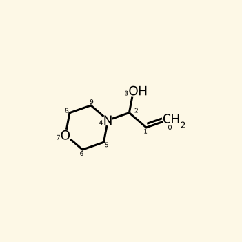 C=CC(O)N1CCOCC1